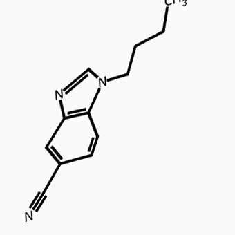 CCCCn1cnc2cc(C#N)ccc21